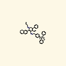 C=CC/C=C1\CC(c2ccccc2)=C(C=C)C(/C=C\Cc2ccc(N3c4ccccc4SC3c3ccccc3)cc2)=C1c1ccc2c(c1)CCC=C2